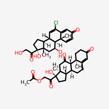 CC(=O)OCC(=O)[C@@]1(O)CC[C@H]2[C@@H]3CCC4=CC(=O)CC[C@]4(C)[C@H]3C(=O)C[C@@]21C.C[C@]12C=CC(=O)C=C1C(Cl)=C[C@@H]1[C@@H]2[C@@H](O)C[C@@]2(C)[C@H]1CC[C@]2(O)C(=O)CO